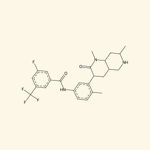 Cc1ccc(NC(=O)c2cc(F)cc(C(F)(F)F)c2)cc1C1CC2CNC(C)CC2N(C)C1=O